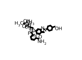 CC(C)(C)[Si](C)(C)OCCOc1cc2nn(C3CCC(CO)CC3)cc2cc1N1C(C(F)(F)F)=CC=CC1C(N)=O